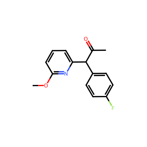 COc1cccc(C(C(C)=O)c2ccc(F)cc2)n1